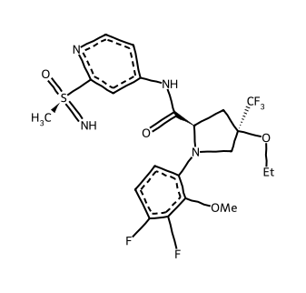 CCO[C@]1(C(F)(F)F)C[C@H](C(=O)Nc2ccnc([S@](C)(=N)=O)c2)N(c2ccc(F)c(F)c2OC)C1